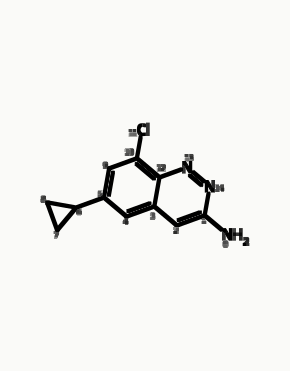 Nc1cc2cc(C3CC3)cc(Cl)c2nn1